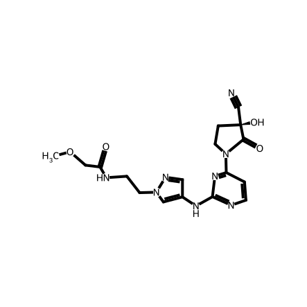 COCC(=O)NCCn1cc(Nc2nccc(N3CC[C@](O)(C#N)C3=O)n2)cn1